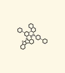 c1ccc(-c2ccc(N3B4c5c(cc(-c6ccccc6)cc5-n5c6sc7ccccc7c6c6cccc4c65)-c4c3ccc3ccccc43)cc2)cc1